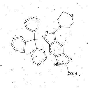 O=C(O)c1nc2cc3c(N4CCOCC4)nn(C(c4ccccc4)(c4ccccc4)c4ccccc4)c3cc2[nH]1